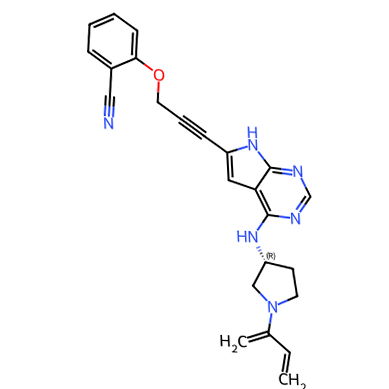 C=CC(=C)N1CC[C@@H](Nc2ncnc3[nH]c(C#CCOc4ccccc4C#N)cc23)C1